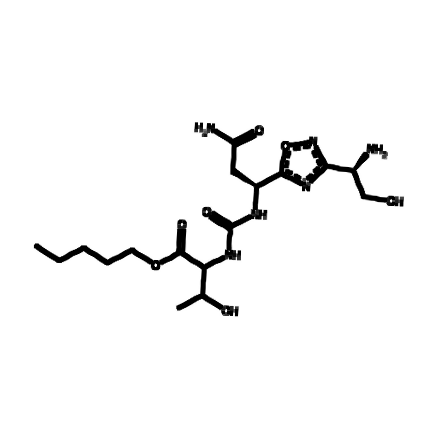 CCCCCOC(=O)C(NC(=O)N[C@@H](CC(N)=O)c1nc([C@@H](N)CO)no1)C(C)O